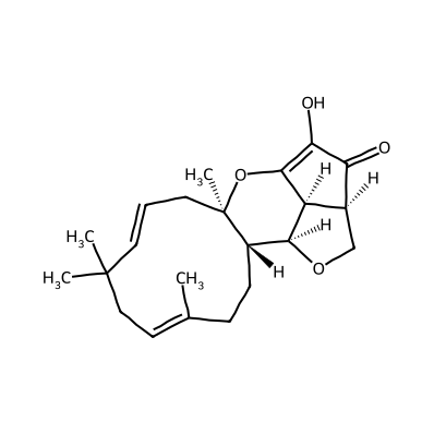 C/C1=C\CC(C)(C)/C=C/C[C@@]2(C)OC3=C(O)C(=O)[C@H]4CO[C@H]([C@@H]34)[C@@H]2CC1